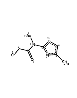 CCCCN(C(=O)CCl)c1nc(C)co1